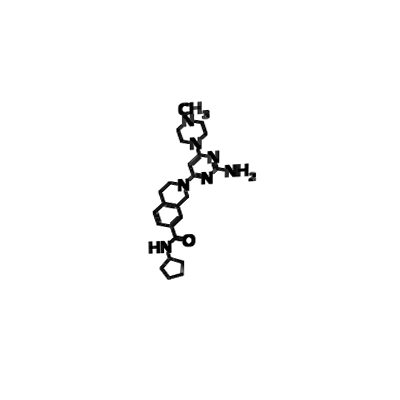 CN1CCN(c2cc(N3CCc4ccc(C(=O)NC5CCCC5)cc4C3)nc(N)n2)CC1